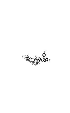 CN(C)C(=O)/C=C/CC[C@@H](CN(C)C(=O)O)C(=O)Nc1nccn(Cc2cc3cc(F)ccc3n2Cc2ccc(F)cc2)c1=O